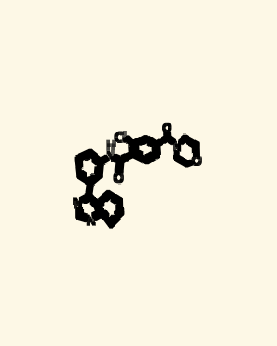 O=C(Nc1cccc(-c2ncnc3ccccc23)c1)c1ccc(C(=O)N2CCOCC2)cc1Cl